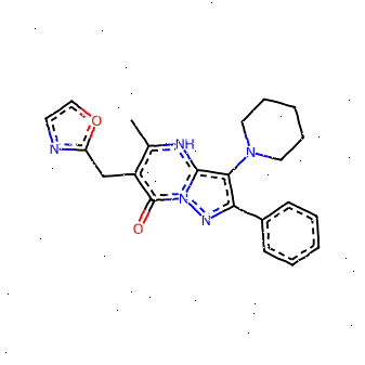 Cc1[nH]c2c(N3CCCCC3)c(-c3ccccc3)nn2c(=O)c1Cc1ncco1